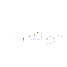 COc1c(Cl)ccc(-c2cn3cc(C(=O)NC(C)CC(C)(F)F)cc3c(=O)[nH]2)c1F